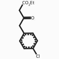 CCOC(=O)CC(=O)Cc1ccc(Cl)cc1